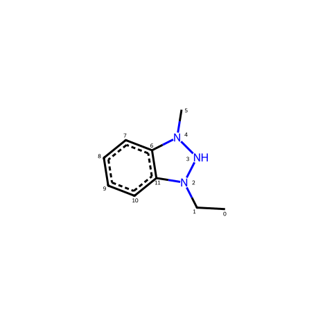 CCN1NN(C)c2ccccc21